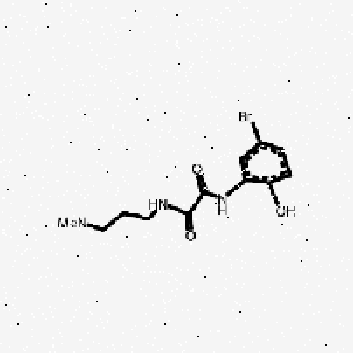 CNCCCNC(=O)C(=O)Nc1cc(Br)ccc1O